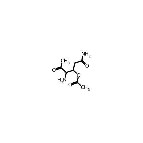 CC(=O)OC(CC(N)=O)C(N)C(C)=O